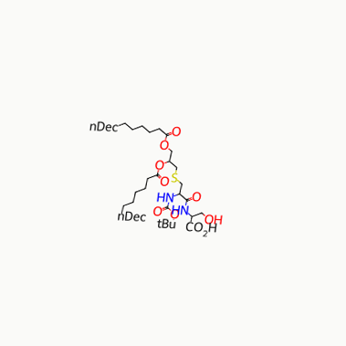 CCCCCCCCCCCCCCCC(=O)OCC(CSCC(NC(=O)OC(C)(C)C)C(=O)NC(CO)C(=O)O)OC(=O)CCCCCCCCCCCCCCC